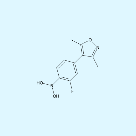 Cc1noc(C)c1-c1ccc(B(O)O)c(F)c1